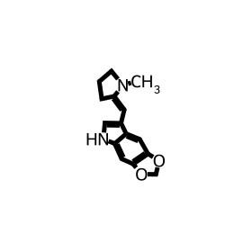 CN1CCCC1=Cc1c[nH]c2cc3c(cc12)OCO3